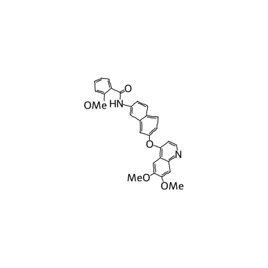 COc1cc2nccc(Oc3ccc4ccc(NC(=O)c5ccccc5OC)cc4c3)c2cc1OC